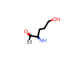 CCC(=O)C(=N)CCCO